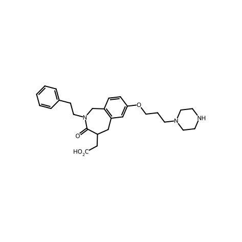 O=C(O)CC1Cc2cc(OCCCN3CCNCC3)ccc2CN(CCc2ccccc2)C1=O